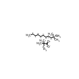 CC(C)(C)C(=O)[O-].CCCCCCCCC[N+](C)(C)C